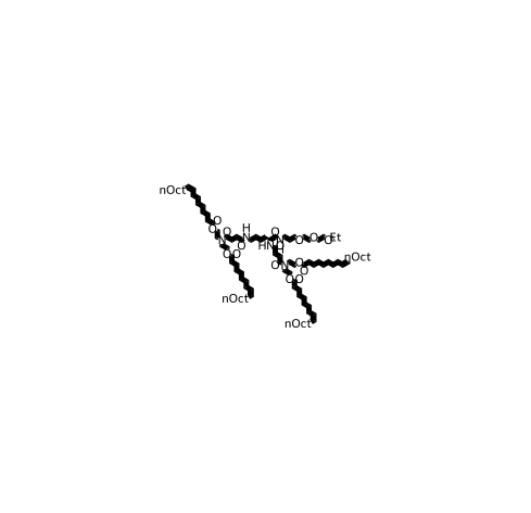 CCCCCCCC/C=C\CCCCCCCC(=O)OCCN(CCOC(=O)CCCCCCC/C=C\CCCCCCCC)C(=O)CCC(=O)NCCCC[C@H](NC(=O)CCC(=O)N(CCOC(=O)CCCCCCC/C=C\CCCCCCCC)CCOC(=O)CCCCCCC/C=C\CCCCCCCC)C(=O)NCCCOCCOCCOCC